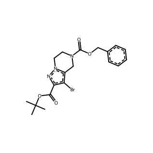 CC(C)(C)OC(=O)c1nn2c(c1Br)CN(C(=O)OCc1ccccc1)CC2